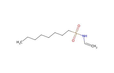 C=CNS(=O)(=O)CCCCCCCC